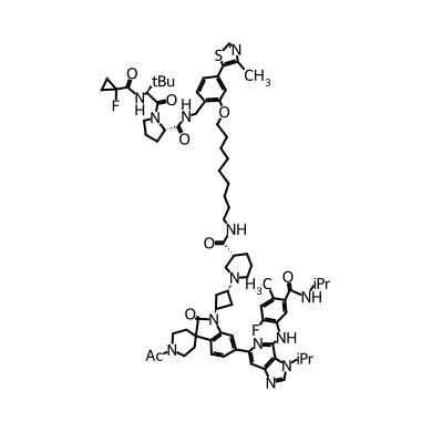 CC(=O)N1CCC2(CC1)C(=O)N([C@H]1C[C@@H](N3CCC[C@@H](C(=O)NCCCCCCCCCOc4cc(-c5scnc5C)ccc4CNC(=O)[C@@H]4CCCN4C(=O)[C@@H](NC(=O)C4(F)CC4)C(C)(C)C)C3)C1)c1cc(-c3cc4ncn(C(C)C)c4c(Nc4cc(C(=O)NC(C)C)c(C)cc4F)n3)ccc12